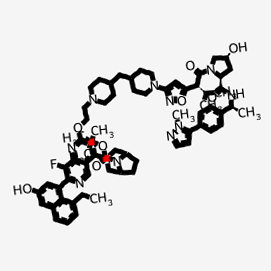 CCc1cccc2cc(O)cc(-c3ncc4c(N5CC6CCC(C5)N6C(=O)OC(C)(C)C)nc(OCCN5CCC(CC6CCN(c7cc([C@H](C(=O)N8C[C@H](O)C[C@H]8C(=O)N[C@@H](C)c8ccc(-c9ccnn9C)cc8)C(C)C)on7)CC6)CC5)nc4c3F)c12